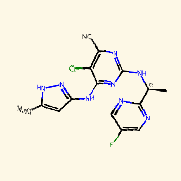 COc1cc(Nc2nc(N[C@@H](C)c3ncc(F)cn3)nc(C#N)c2Cl)n[nH]1